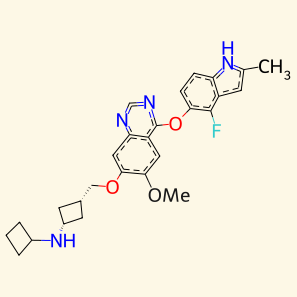 COc1cc2c(Oc3ccc4[nH]c(C)cc4c3F)ncnc2cc1OC[C@H]1C[C@@H](NC2CCC2)C1